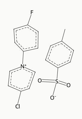 Cc1ccc(S(=O)(=O)[O-])cc1.Fc1ccc(-[n+]2ccc(Cl)cc2)cc1